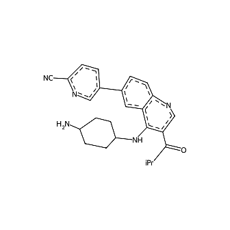 CC(C)C(=O)c1cnc2ccc(-c3ccc(C#N)nc3)cc2c1NC1CCC(N)CC1